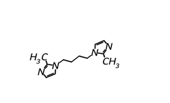 Cc1nccn1CCCCn1ccnc1C